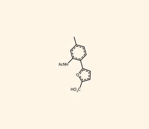 CC(=O)Nc1cc(C)ccc1-c1ccc(C(=O)O)o1